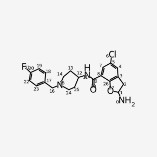 NC1Cc2cc(Cl)cc(C(=O)NC3CCN(Cc4ccc(F)cc4)CC3)c2O1